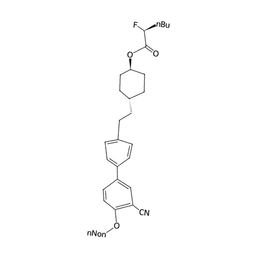 CCCCCCCCCOc1ccc(-c2ccc(CC[C@H]3CC[C@H](OC(=O)[C@@H](F)CCCC)CC3)cc2)cc1C#N